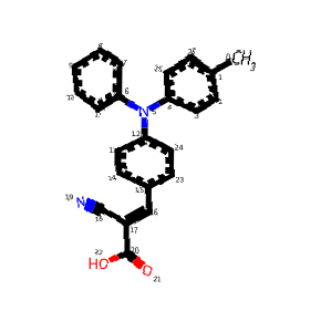 Cc1ccc(N(c2ccccc2)c2ccc(/C=C(\C#N)C(=O)O)cc2)cc1